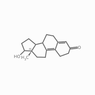 C[C@]12CCC3=C4CCC(=O)C=C4CCC3C1CCC2O